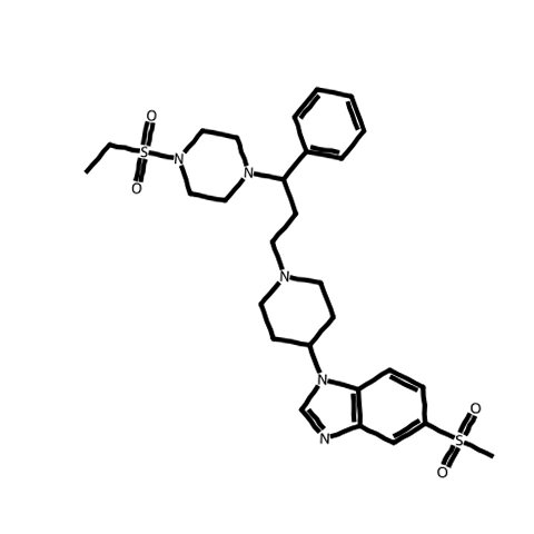 CCS(=O)(=O)N1CCN(C(CCN2CCC(n3cnc4cc(S(C)(=O)=O)ccc43)CC2)c2ccccc2)CC1